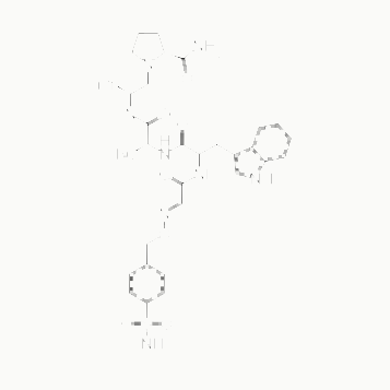 CCC(C)[C@H](NC(=O)C(Cc1c[nH]c2ccccc12)NC(=O)/C=N/OCc1ccc(S(N)(=O)=O)cc1)C(=O)N[C@H](CN1CCC[C@H]1C(N)=O)C(C)C